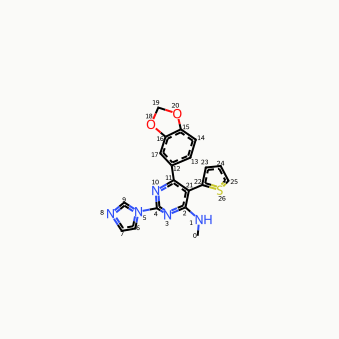 CNc1nc(-n2ccnc2)nc(-c2ccc3c(c2)OCO3)c1-c1cccs1